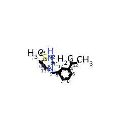 C=C(CC)c1cccc(CN(C=N)/C=C\SC)c1